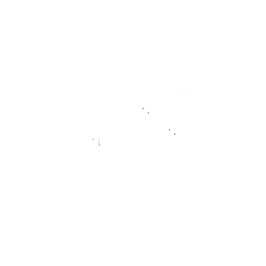 N#Cc1c[nH]c(Br)n1